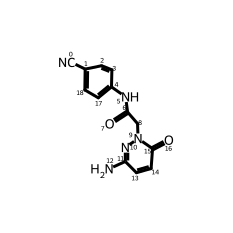 N#Cc1ccc(NC(=O)Cn2nc(N)ccc2=O)cc1